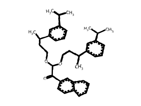 CC(C)c1cccc(C(C)CCOC(OCCC(C)c2cccc(C(C)C)c2)C(=O)c2ccc3ccccc3c2)c1